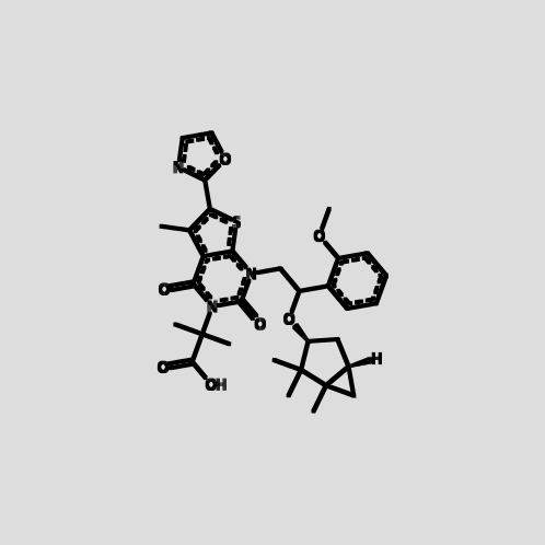 COc1ccccc1C(Cn1c(=O)n(C(C)(C)C(=O)O)c(=O)c2c(C)c(-c3ncco3)sc21)O[C@H]1C[C@@H]2CC2(C)C1(C)C